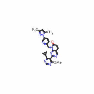 COc1ncnc(C2CC2)c1-c1ncc2ccc(=O)n(Cc3ccc(-n4nc(C(F)(F)F)cc4C)cn3)c2n1